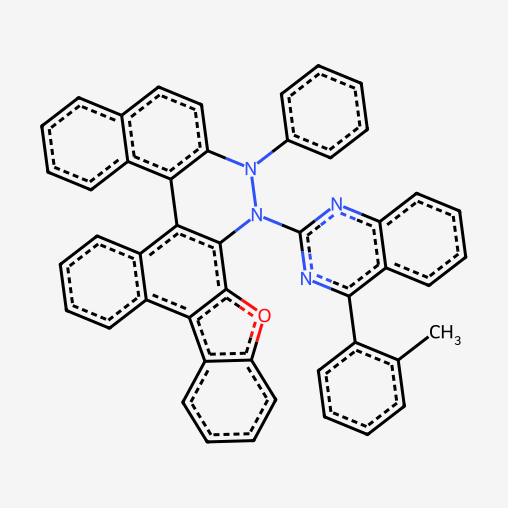 Cc1ccccc1-c1nc(N2c3c(c4ccccc4c4c3oc3ccccc34)-c3c(ccc4ccccc34)N2c2ccccc2)nc2ccccc12